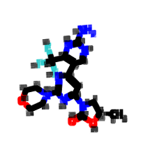 C[C@H]1CN(c2cc(-c3cnc(N)nc3C(F)(F)F)nc(N3CCOCC3)n2)C(=O)O1